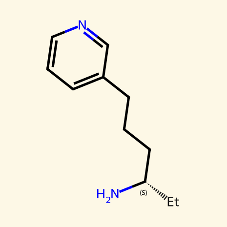 CC[C@H](N)CCCc1cccnc1